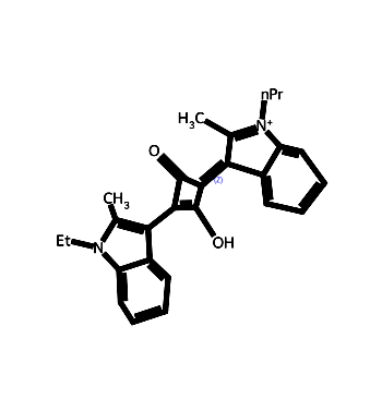 CCC[N+]1=C(C)/C(=C2\C(=O)C(c3c(C)n(CC)c4ccccc34)=C2O)c2ccccc21